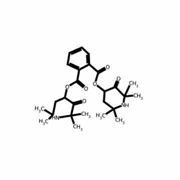 CC1(C)CC(OC(=O)c2ccccc2C(=O)OC2CC(C)(C)NC(C)(C)C2=O)C(=O)C(C)(C)N1